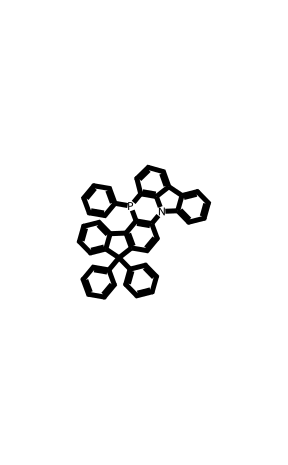 c1ccc(P2c3c(ccc4c3-c3ccccc3C4(c3ccccc3)c3ccccc3)-n3c4ccccc4c4cccc2c43)cc1